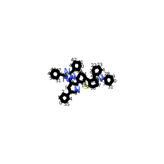 c1ccc(-c2cnc(-c3cccc4c3sc3ccc5c(c6ccccc6n5-c5ccccc5)c34)c(-c3nc(-c4ccccc4)nc(-c4ccccc4)n3)c2)cc1